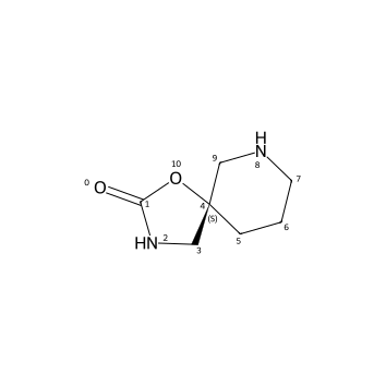 O=C1NC[C@@]2(CCCNC2)O1